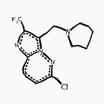 FC(F)(F)c1nc2ccc(Cl)nn2c1CN1CCCC1